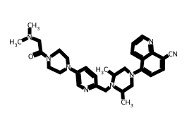 CC1CN(c2ccc(C#N)c3ncccc23)CC(C)N1Cc1ccc(N2CCN(C(=O)CN(C)C)CC2)cn1